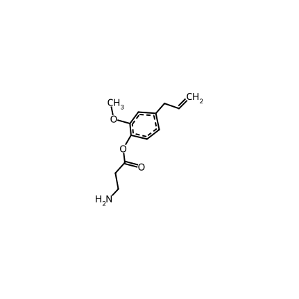 C=CCc1ccc(OC(=O)CCN)c(OC)c1